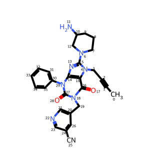 CC#CCn1c(N2CCCC(N)C2)nc2c1c(=O)n(Cc1cncc(C#N)c1)c(=O)n2-c1ccccc1